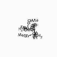 CCOP(C)(=O)c1cc(C#Cc2ccc(OC)cc2)cc(CN2CCN(Cc3cc(C#Cc4ccc(OC)cc4)cc(P(C)(=O)OCC)n3)CCN(C(=O)OC(C)(C)C)CC2)n1